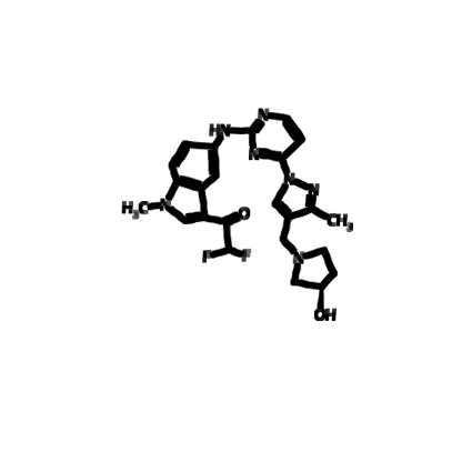 Cc1nn(-c2ccnc(Nc3ccc4c(c3)c(C(=O)C(F)F)cn4C)n2)cc1CN1CC[C@@H](O)C1